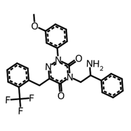 COc1cccc(-n2nc(Cc3ccccc3C(F)(F)F)c(=O)n(CC(N)c3ccccc3)c2=O)c1